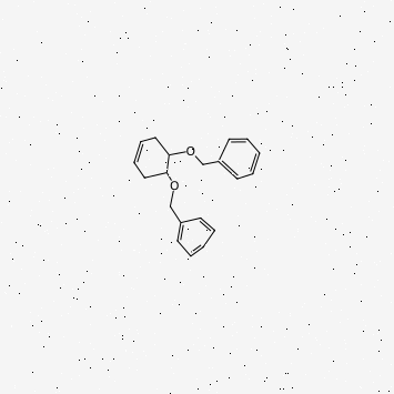 C1=CCC(OCc2ccccc2)C(OCc2ccccc2)C1